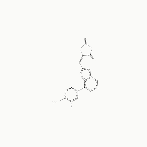 COc1ncc(-c2cncc3cc(C=C4SC(=O)NC4=O)oc23)cc1F